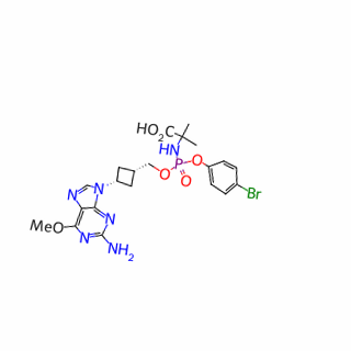 COc1nc(N)nc2c1ncn2[C@H]1C[C@@H](COP(=O)(NC(C)(C)C(=O)O)Oc2ccc(Br)cc2)C1